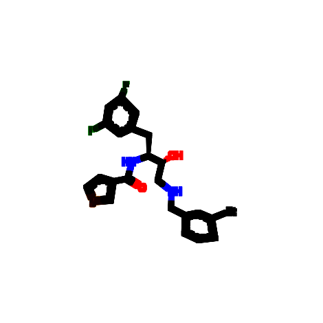 CCc1cccc(CNC[C@@H](O)[C@H](Cc2cc(F)cc(F)c2)NC(=O)c2ccsc2)c1